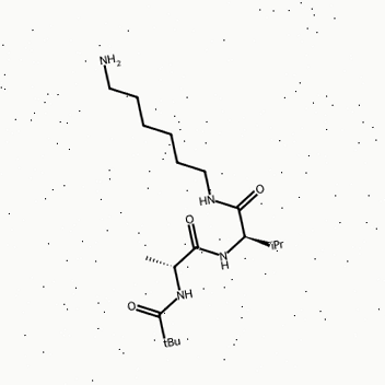 CC(C)[C@@H](NC(=O)[C@@H](C)NC(=O)C(C)(C)C)C(=O)NCCCCCCN